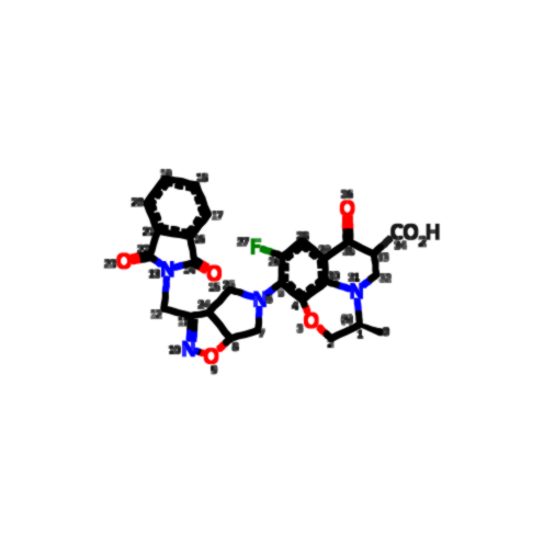 C[C@H]1COc2c(N3CC4ON=C(CN5C(=O)c6ccccc6C5=O)C4C3)c(F)cc3c2N1CC(C(=O)O)C3=O